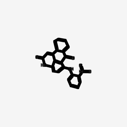 O=C1c2ccccc2-c2cc(=O)[nH]c3ccc(Nc4ccccc4[SH](=O)=O)c1c23